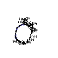 O=C1CC(O)CC(O)CC(O)CCC(O)C(O)CC2(O)C[C@H](O)C(C(=O)O)C(CC(O[C@@H]3O[C@H](O)C(O)[C@H](O)[C@@H]3O)/C=C/C=C/C=C/C=C/CC/C=C/C=C/[C@H](O)C(O)[C@@H](O)[C@H](O)O1)O2